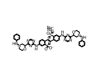 O=S(=O)([O-])c1cc(Nc2ncnc(C3CN(Nc4ccccc4)CCO3)n2)ccc1C=Cc1ccc(Nc2ncnc(C3CN(Nc4ccccc4)CCO3)n2)cc1S(=O)(=O)[O-].[Na+].[Na+]